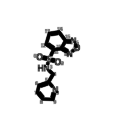 O=S(=O)(NCc1ccccn1)c1cccc2nonc12